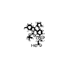 Cc1ccc2cc(-c3cc(S(=O)(=O)N(C)CC(=O)O)ccc3N3CCCC3)n(C(=O)OC(C)(C)C)c2c1